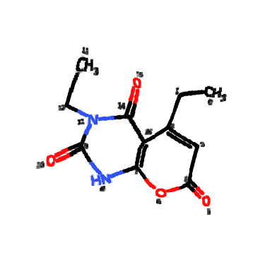 CCc1cc(=O)oc2[nH]c(=O)n(CC)c(=O)c12